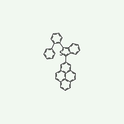 c1ccc(-c2ccccc2-c2sc(-c3cc4ccc5cccc6ccc(c3)c4c56)c3ccccc23)cc1